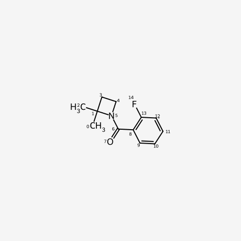 CC1(C)CCN1C(=O)c1ccc[c]c1F